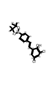 CC1(C)OB(c2ccc(C=Cc3cc(Cl)cc(Cl)c3O)cc2)OC1(C)C